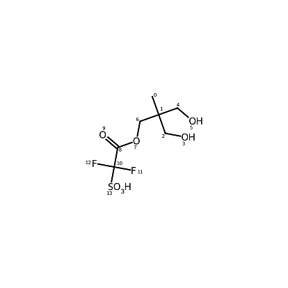 CC(CO)(CO)COC(=O)C(F)(F)S(=O)(=O)O